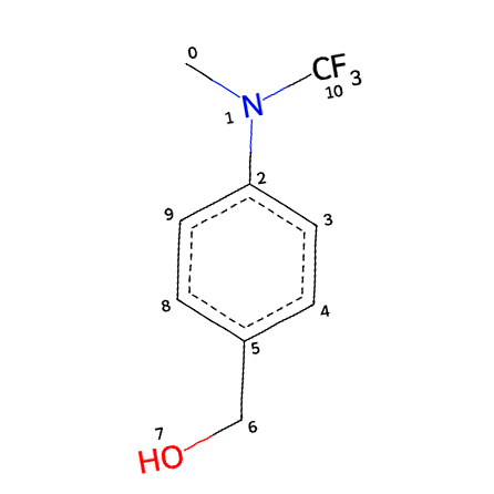 CN(c1ccc(CO)cc1)C(F)(F)F